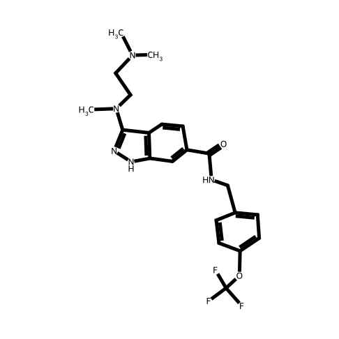 CN(C)CCN(C)c1n[nH]c2cc(C(=O)NCc3ccc(OC(F)(F)F)cc3)ccc12